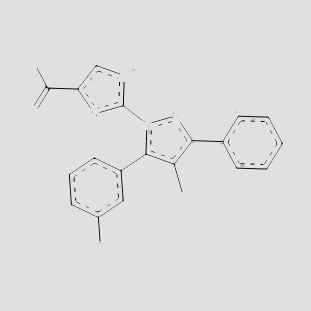 Cc1c(-c2ccccc2)nn(-c2nc(C(=O)O)cs2)c1-c1cccc(F)c1